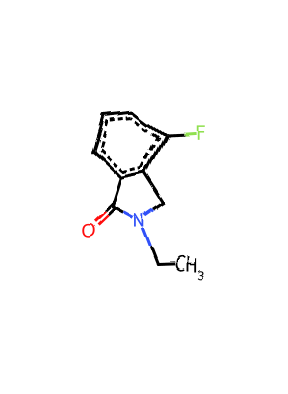 CCN1Cc2c(F)cccc2C1=O